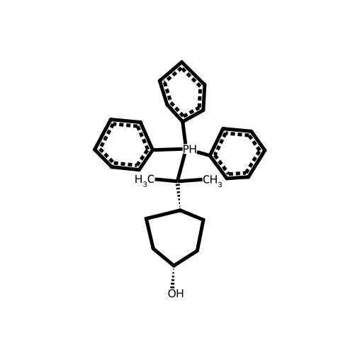 CC(C)([C@H]1CC[C@@H](O)CC1)[PH](c1ccccc1)(c1ccccc1)c1ccccc1